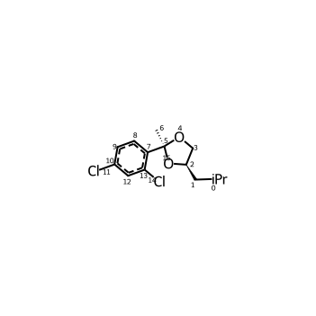 CC(C)C[C@@H]1CO[C@](C)(c2ccc(Cl)cc2Cl)O1